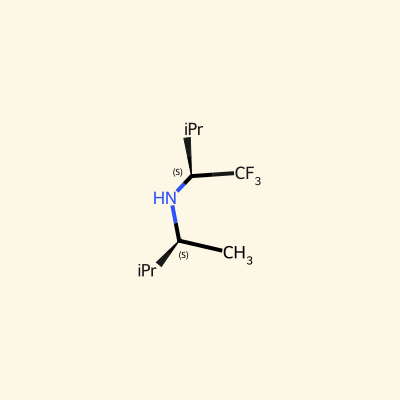 CC(C)[C@H](C)N[C@@H](C(C)C)C(F)(F)F